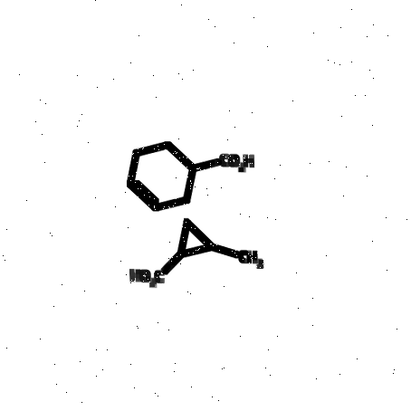 CC1CC1C(=O)O.O=C(O)C1CC=CCC1